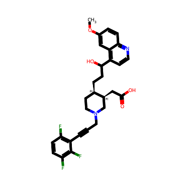 COc1ccc2nccc(C(O)CC[C@@H]3CCN(CC#Cc4c(F)ccc(F)c4F)C[C@@H]3CC(=O)O)c2c1